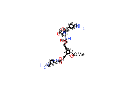 COC(=O)Cc1cc(C#CCOC(=O)NCC2C=CC=C(CN)C2)cc(C#CCOC(=O)NC2CC(C(=O)OC)N(C(=O)CCc3ccc(CN)cc3)C2)c1